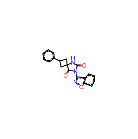 O=C1NC2(CC(c3ccccc3)C2)C(=O)N1c1noc2ccccc12